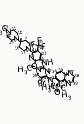 COc1nc(N2CCC(N3CCN(C)CC3)CC2)c(C(F)(F)F)cc1Nc1ncc(Br)c(Nc2ccc3nccnc3c2P(C)(C)=O)n1